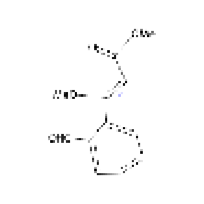 COC(=O)/C=C(\OC)c1ccccc1C=O